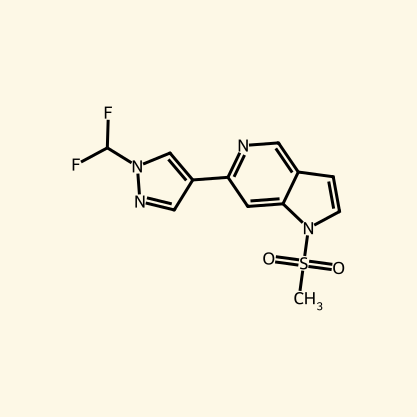 CS(=O)(=O)n1ccc2cnc(-c3cnn(C(F)F)c3)cc21